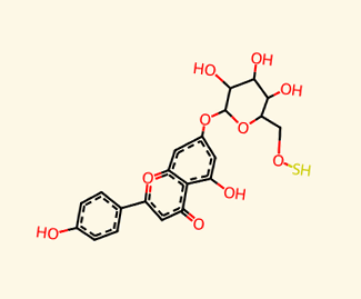 O=c1cc(-c2ccc(O)cc2)oc2cc(OC3OC(COS)C(O)C(O)C3O)cc(O)c12